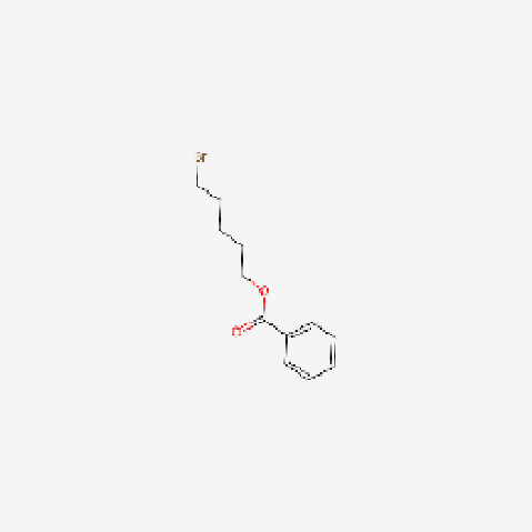 O=C(OCCCCCBr)c1ccccc1